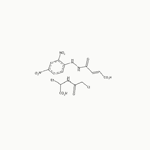 CCC(NC(=O)CCl)C(=O)O.O=C(O)C=CC(=O)NNc1ccc([N+](=O)[O-])cc1[N+](=O)[O-]